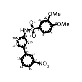 COc1ccc(S(=O)(=O)Nc2nc(-c3cccc([N+](=O)[O-])c3)ns2)cc1OC